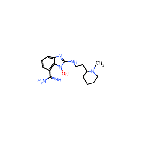 CN1CCCCC1CCNc1nc2cccc(C(=N)N)c2n1O